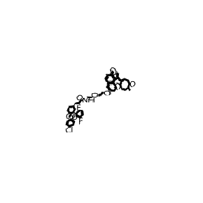 CC1CCC(=O)C(c2coc3ccc4cc(OCCOCCNC(=O)CC[C@@H]5CCC[C@@](C6C=C(F)C=CC6F)(S(=O)(=O)c6ccc(Cl)cc6)C5)ccc4c23)CCC1=O